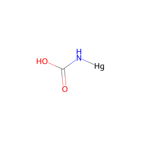 O=C(O)[NH][Hg]